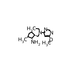 CCN(C[C@@H]1CC[C@H](C)[C@H]1N)c1cc(OC)ncn1